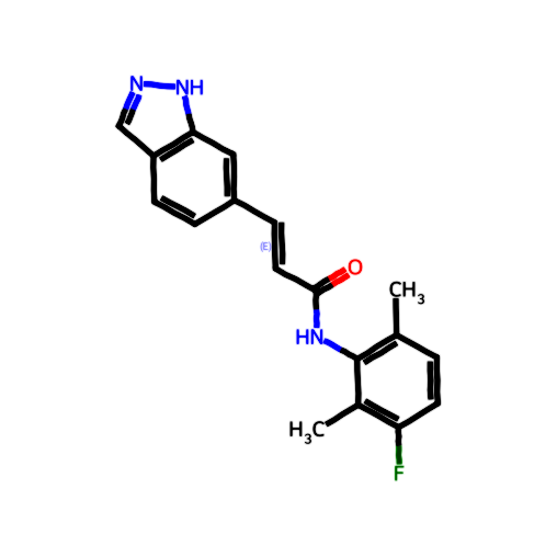 Cc1ccc(F)c(C)c1NC(=O)/C=C/c1ccc2cn[nH]c2c1